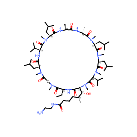 CC[C@@H]1NC(=O)[C@H]([C@H](O)[C@H](C)CCCC(=O)NCCN)N(C)C(=O)[C@H](C(C)C)N(C)C(=O)[C@H](CC(C)C)N(C)C(=O)[C@H](CC(C)C)N(C)C(=O)[C@@H](C)NC(=O)[C@H](C)NC(=O)[C@H](CC(C)C)N(C)C(=O)[C@H](C(C)C)NC(=O)[C@H](CC(C)C)N(C)C(=O)CN(C)C1=O